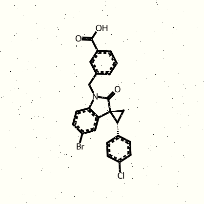 O=C(O)c1cccc(CN2C(=O)[C@@]3(C[C@@H]3c3ccc(Cl)cc3)c3cc(Br)ccc32)c1